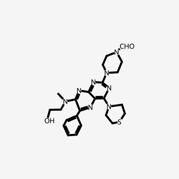 CN(CCO)c1nc2nc(N3CCN(C=O)CC3)nc(N3CCSCC3)c2nc1-c1ccccc1